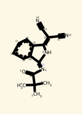 CC(C)(C)C(=O)/N=C1/NC(=C(C#N)C#N)c2ccccc21